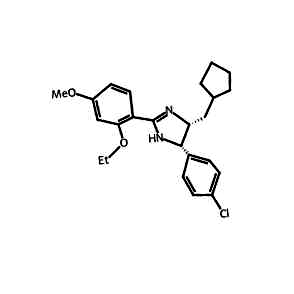 CCOc1cc(OC)ccc1C1=N[C@H](CC2CCCC2)[C@H](c2ccc(Cl)cc2)N1